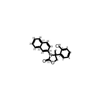 CC1(c2ccccc2Cl)COC(=O)N1c1ccc2ccccc2c1